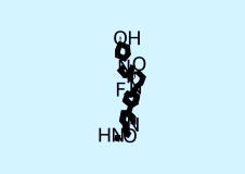 CNC(=O)c1ccc(-c2ccc(N3CCC[C@]4(CCN([C@H]5CC[C@@H](O)CC5)C4=O)C3)c(F)c2)cn1